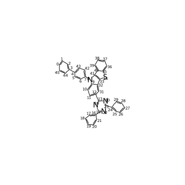 c1ccc(-c2ccc(-n3c4ccc(-c5nc(-c6ccccc6)nc(-c6ccccc6)n5)cc4c4sc5ccccc5c43)cc2)cc1